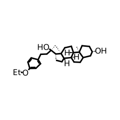 CCOc1ccc(CC[C@@](C)(O)[C@H]2CC[C@H]3[C@@H]4CCC5C[C@@H](O)CC[C@]5(C)[C@H]4CC[C@@]32C)cc1